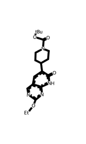 CCOc1ncc2cc(C3CCN(C(=O)OC(C)(C)C)CC3)c(=O)[nH]c2n1